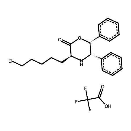 O=C(O)C(F)(F)F.O=C1O[C@H](c2ccccc2)[C@H](c2ccccc2)N[C@H]1CCCCCCl